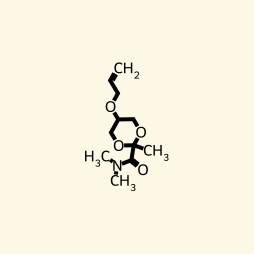 C=CCOC1COC(C)(C(=O)N(C)C)OC1